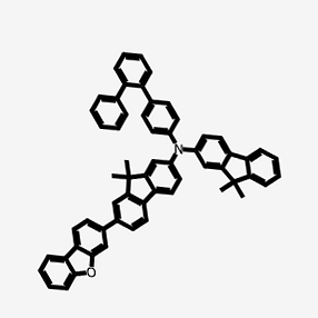 CC1(C)c2ccccc2-c2ccc(N(c3ccc(-c4ccccc4-c4ccccc4)cc3)c3ccc4c(c3)C(C)(C)c3cc(-c5ccc6c(c5)oc5ccccc56)ccc3-4)cc21